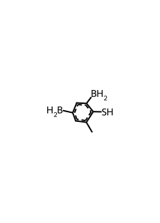 Bc1cc(B)c(S)c(C)c1